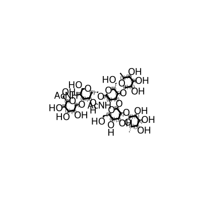 CC(=O)N[C@H]1[C@H](OC[C@H]2OC(O)[C@H](NC(C)=O)[C@@H](O[C@@H]3O[C@H](CO)[C@H](O)[C@H](O)[C@H]3O)[C@H]2O)O[C@H](CO)[C@@H](O[C@@H]2O[C@@H](C)[C@@H](O)[C@@H](O)[C@@H]2O)[C@@H]1O[C@@H]1O[C@H](CO)[C@H](O)[C@H](O)[C@H]1O[C@@H]1O[C@@H](C)[C@@H](O)[C@@H](O)[C@@H]1O